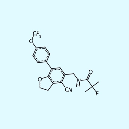 CC(C)(F)C(=O)NCc1cc(-c2ccc(OC(F)(F)F)cc2)c2c(c1C#N)CCO2